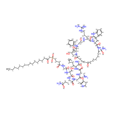 CCCCCCCCCCCCCCCC(=O)CS(=O)(=O)CCCC(=O)NCC(=O)N[C@@H](CO)C(=O)N[C@@H](CCC(N)=O)C(=O)N[C@@H](CC1=CCC=N1)C(=O)N[C@@H](CN)C(=O)N[C@@H](CCCC)C(=O)N[C@H]1CCC(=O)CCCCC[C@@H](C(N)=O)NC(=O)[C@H](Cc2c[nH]c3ccccc23)NC(=O)[C@H](CCCNC(=N)N)NC(=O)[C@@H](Cc2ccccc2)NC(=O)[C@@H]2C[C@@H](O)CN2C1=O